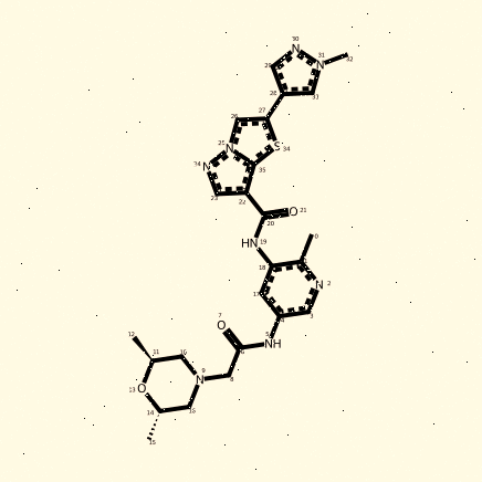 Cc1ncc(NC(=O)CN2C[C@H](C)O[C@@H](C)C2)cc1NC(=O)c1cnn2cc(-c3cnn(C)c3)sc12